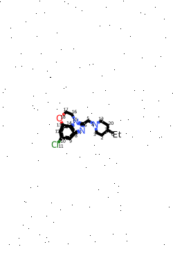 CCC1CCN(Cc2nc3cc(Cl)cc4c3n2CCO4)CC1